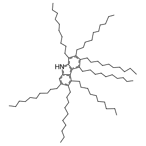 CCCCCCCCCCc1cc2[nH]c3c(CCCCCCCCCC)c(CCCCCCCCCC)c(CCCCCCCCCC)c(CCCCCCCCCC)c3c2c(CCCCCCCCCC)c1CCCCCCCCCC